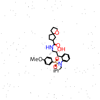 COc1ccc(S(=O)(=O)N(CC(C)C)c2ccccc2C[C@@H](O)[C@H](C)NC(=O)C2CCC3(CCCO3)C2)cc1